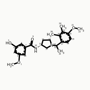 COc1cc(O)cc(C(=O)N[C@@H]2CCN(C(C)c3ccc(OC)c(C)c3C)C2)c1